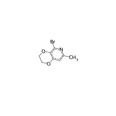 Cc1cc2c(c(Br)n1)OCCO2